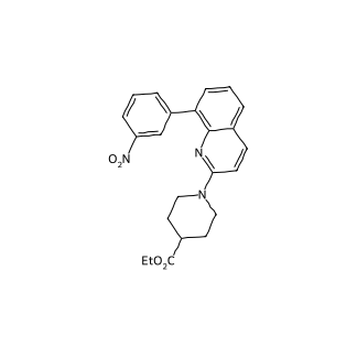 CCOC(=O)C1CCN(c2ccc3cccc(-c4cccc([N+](=O)[O-])c4)c3n2)CC1